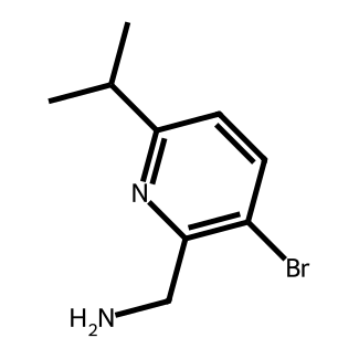 CC(C)c1ccc(Br)c(CN)n1